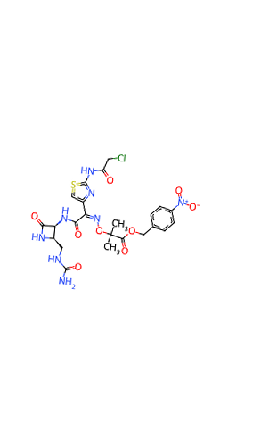 CC(C)(ON=C(C(=O)N[C@@H]1C(=O)N[C@@H]1CNC(N)=O)c1csc(NC(=O)CCl)n1)C(=O)OCc1ccc([N+](=O)[O-])cc1